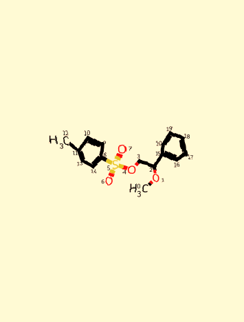 COC(COS(=O)(=O)c1ccc(C)cc1)c1ccccc1